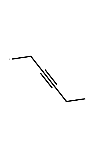 [CH2]CC#CCC